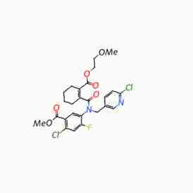 COCCOC(=O)C1=C(C(=O)N(Cc2ccc(Cl)nc2)c2cc(C(=O)OC)c(Cl)cc2F)CCCC1